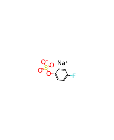 O=S(=O)([O-])Oc1ccc(F)cc1.[Na+]